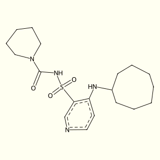 O=C(NS(=O)(=O)c1cnccc1NC1CCCCCCC1)N1CCCCC1